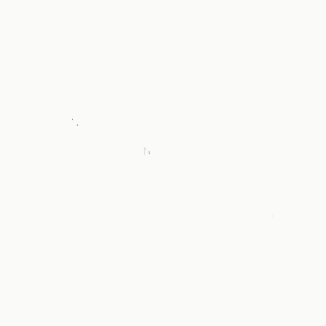 CC(C)Cc1cccc(CN[C@@H](CC(C)C)CN(C)C)c1